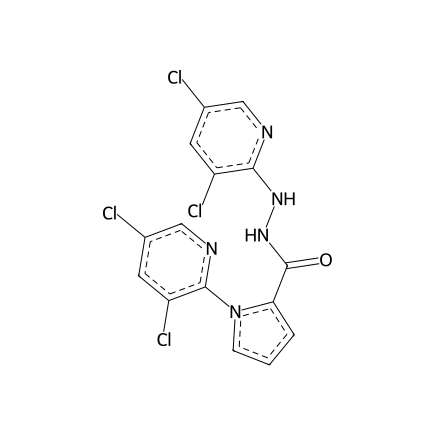 O=C(NNc1ncc(Cl)cc1Cl)c1cccn1-c1ncc(Cl)cc1Cl